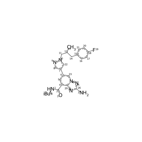 CC[C@H](C)NC(=O)c1cc(-c2cnn(CC(C)Cc3ccc(F)cc3)c2)cn2nc(N)nc12